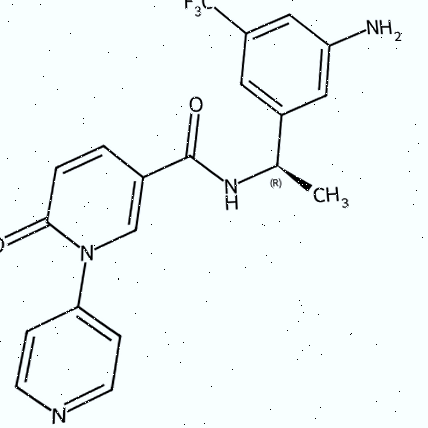 C[C@@H](NC(=O)c1ccc(=O)n(-c2ccncc2)c1)c1cc(N)cc(C(F)(F)F)c1